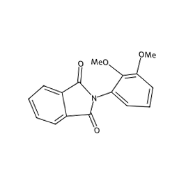 COc1cccc(N2C(=O)c3ccccc3C2=O)c1OC